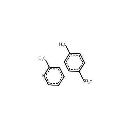 Cc1ccc(S(=O)(=O)O)cc1.O=C(O)c1ccccn1